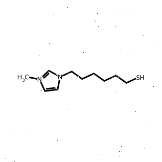 C[n+]1ccn(CCCCCCS)c1